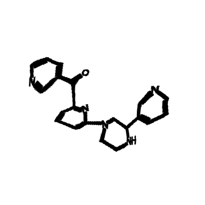 O=C(c1cccnc1)c1cccc(N2CCNC(c3cccnc3)C2)n1